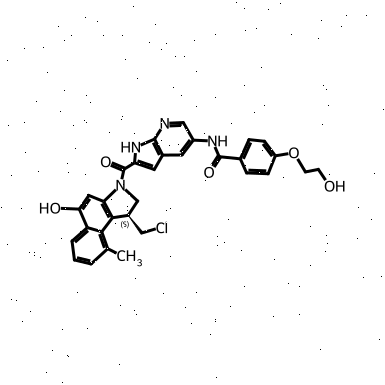 Cc1cccc2c(O)cc3c(c12)[C@H](CCl)CN3C(=O)c1cc2cc(NC(=O)c3ccc(OCCO)cc3)cnc2[nH]1